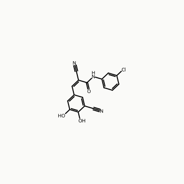 N#CC(=Cc1cc(O)c(O)c(C#N)c1)C(=O)Nc1cccc(Cl)c1